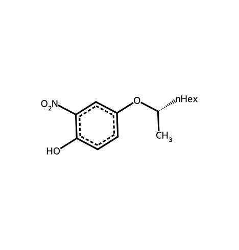 CCCCCC[C@H](C)Oc1ccc(O)c([N+](=O)[O-])c1